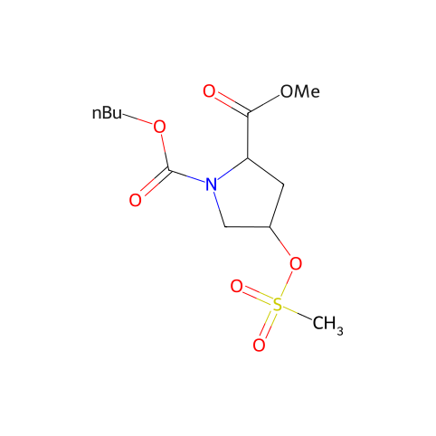 CCCCOC(=O)N1CC(OS(C)(=O)=O)CC1C(=O)OC